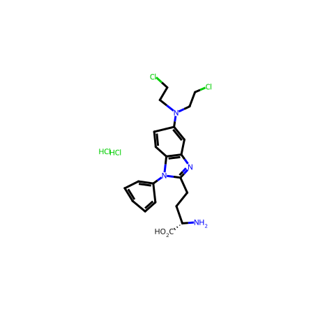 Cl.Cl.N[C@@H](CCc1nc2cc(N(CCCl)CCCl)ccc2n1-c1ccccc1)C(=O)O